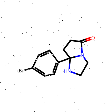 CC(C)(C)c1ccc(C23CCC(=O)N2CCN3)cc1